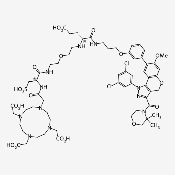 COc1cc2c(cc1-c1cccc(OCCCNC(=O)[C@@H](CCC(=O)O)NCCOCCNC(=O)[C@H](CS(=O)(=O)O)NC(=O)CN3CCN(CC(=O)O)CCN(CC(=O)O)CCN(CC(=O)O)CC3)c1)-c1c(c(C(=O)N3CCOCC3(C)C)nn1-c1cc(Cl)cc(Cl)c1)CO2